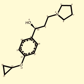 O[C@@H](CCN1CCCC1)c1ccc(OC2CC2)cc1